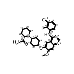 COc1cc2ncnc(Nc3cccc(Cl)c3F)c2cc1O[C@H]1CC[C@@H](N2CCCC[C@@H]2C(N)=O)CC1